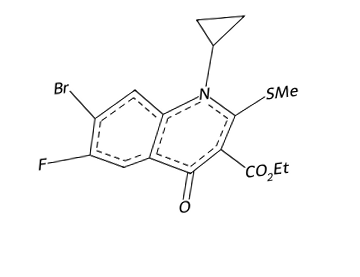 CCOC(=O)c1c(SC)n(C2CC2)c2cc(Br)c(F)cc2c1=O